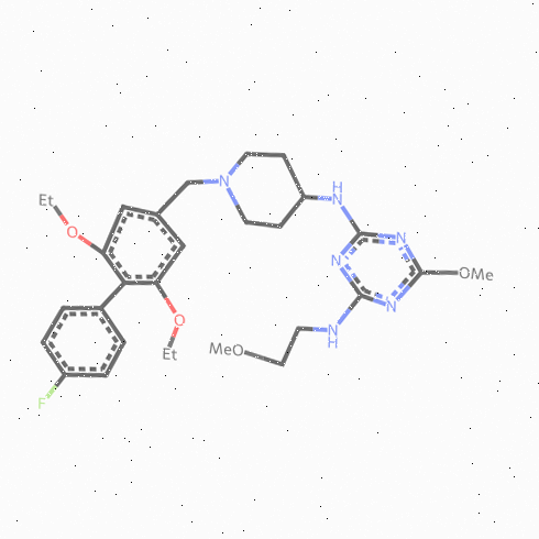 CCOc1cc(CN2CCC(Nc3nc(NCCOC)nc(OC)n3)CC2)cc(OCC)c1-c1ccc(F)cc1